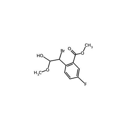 COC(=O)c1cc(F)ccc1C(Br)C(O)OC